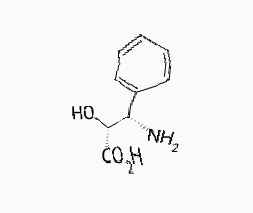 N[C@@H](c1ccccc1)[C@@H](O)C(=O)O